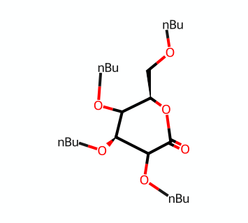 CCCCOC[C@H]1OC(=O)C(OCCCC)[C@@H](OCCCC)C1OCCCC